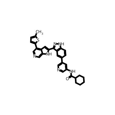 Cc1ccc(-c2cncc3[nH]c(-c4n[nH]c5ccc(-c6cncc(NC(=O)C7CCCCC7)c6)cc45)cc23)s1